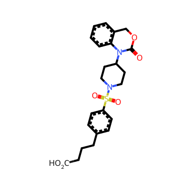 O=C(O)CCCc1ccc(S(=O)(=O)N2CCC(N3C(=O)OCc4ccccc43)CC2)cc1